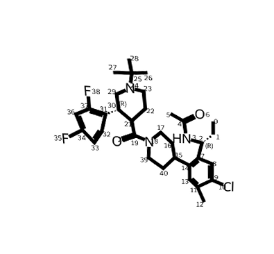 CC[C@@H](NC(C)=O)c1cc(Cl)c(C)cc1C1CCN(C(=O)C2CCN(C(C)(C)C)C[C@H]2c2ccc(F)cc2F)CC1